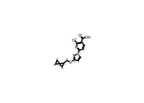 O=C(O)c1ccc(-n2ccc(OCC3CC34CC4)n2)nc1Cl